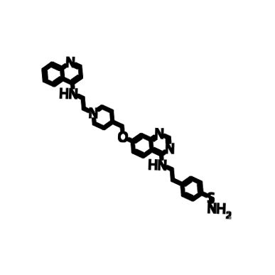 NSc1ccc(CCNc2ncnc3cc(OCC4CCN(CCNc5ccnc6ccccc56)CC4)ccc23)cc1